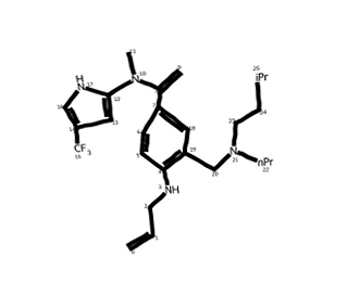 C=CCNc1ccc(C(=C)N(C)c2cc(C(F)(F)F)c[nH]2)cc1CN(CCC)CCC(C)C